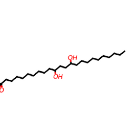 CCCCCCCCCCC(O)CCC(O)CCCCCCCCCC(=O)O